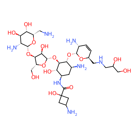 NC[C@@H]1O[C@H](O[C@H]2[C@@H](O)[C@H](O[C@@H]3[C@@H](O)[C@H](NC(=O)C4(O)CC(N)C4)C[C@H](N)[C@H]3O[C@H]3O[C@H](CNCC(O)CO)C=C[C@H]3N)O[C@@H]2CO)[C@H](N)[C@@H](O)[C@@H]1O